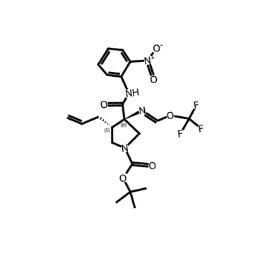 C=CC[C@H]1CN(C(=O)OC(C)(C)C)C[C@@]1(N=COC(F)(F)F)C(=O)Nc1ccccc1[N+](=O)[O-]